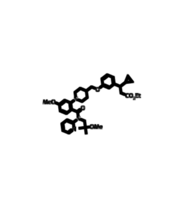 CCOC(=O)CC(c1cccc(OCC2CCN(c3cc(OC)ccc3C(=O)N(CC(C)(C)OC)c3ccccn3)CC2)c1)C1CC1